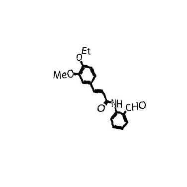 CCOc1ccc(/C=C/C(=O)Nc2ccccc2C=O)cc1OC